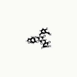 N#Cc1cc(Cn2c(Nc3cc4c(cc3Cl)OCC4)nc(=O)n(Cc3cc(F)c[nH]c3=O)c2=O)ccc1F